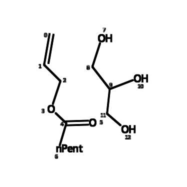 C=CCOC(=O)CCCCC.OCC(O)CO